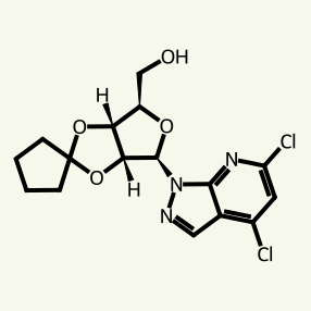 OC[C@H]1O[C@@H](n2ncc3c(Cl)cc(Cl)nc32)[C@@H]2OC3(CCCC3)O[C@@H]21